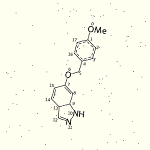 COc1ccc(COC2=CC3NN=CC3C=C2)cc1